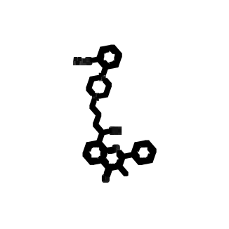 COc1ccccc1N1CCN(CCCC(O)c2cccc3c(=O)c(C)c(-c4ccccc4)oc23)CC1